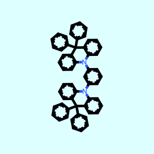 c1ccc(C2(c3ccccc3)c3ccccc3N(c3cccc(N4c5ccccc5C(c5ccccc5)(c5ccccc5)c5ccccc54)c3)c3ccccc32)cc1